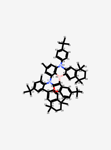 Cc1cc2c3c(c1)N(c1c(C)cc(C(C)(C)C)cc1-c1ccc4c(c1)C(C)(C)CCC4(C)C)c1oc4ccc(C(C)(C)C)cc4c1B3c1cc3c(cc1N2c1ccc(C(C)(C)C)cc1)C(C)(C)CCC3(C)C